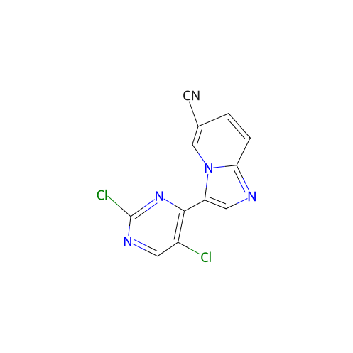 N#Cc1ccc2ncc(-c3nc(Cl)ncc3Cl)n2c1